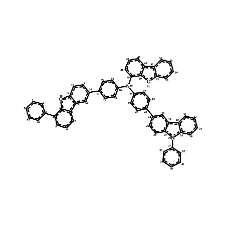 c1ccc(-c2cccc3c2oc2ccc(-c4ccc(N(c5ccc(-c6ccc7c(c6)c6ccccc6n7-c6ccccc6)cc5)c5cccc6c5oc5ccccc56)cc4)cc23)cc1